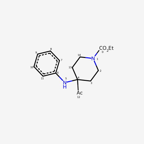 CCOC(=O)N1CCC(Nc2ccccc2)(C(C)=O)CC1